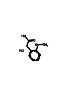 Cl.NNc1ccccc1CC(=O)O